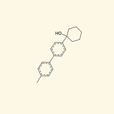 Cc1ccc(-c2ccc(C3(O)CCCCC3)cc2)cc1